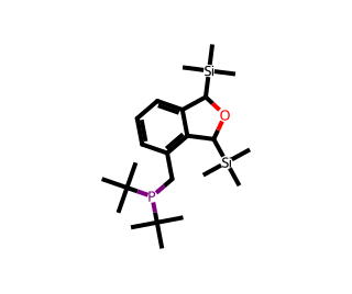 CC(C)(C)P(Cc1cccc2c1C([Si](C)(C)C)OC2[Si](C)(C)C)C(C)(C)C